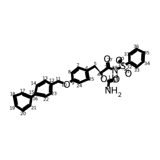 NC(=O)O[C@@H](Cc1ccc(OCc2ccc(-c3ccccc3)cc2)cc1)C(=O)NS(=O)(=O)c1ccccc1